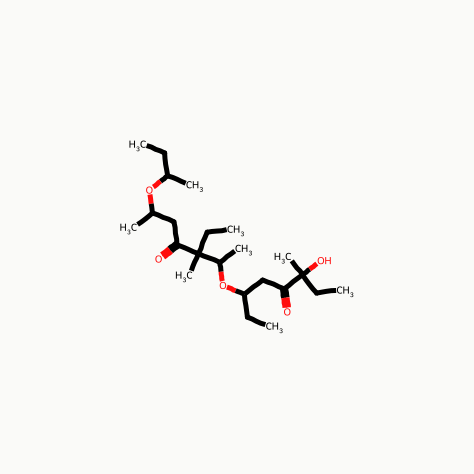 CCC(C)OC(C)CC(=O)C(C)(CC)C(C)OC(CC)CC(=O)C(C)(O)CC